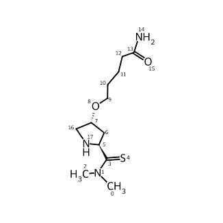 CN(C)C(=S)[C@@H]1C[C@@H](OCCCCC(N)=O)CN1